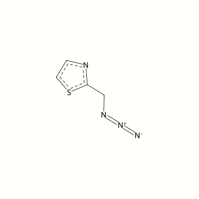 [N-]=[N+]=NCc1nccs1